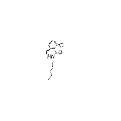 CCCCCCNC(=O)c1c(F)cccc1Cl